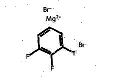 Fc1cccc(F)c1F.[Br-].[Br-].[Mg+2]